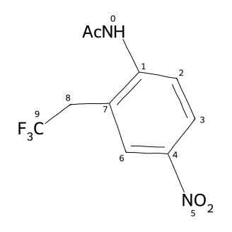 CC(=O)Nc1ccc([N+](=O)[O-])cc1CC(F)(F)F